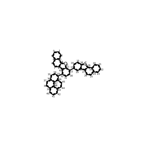 c1ccc2c(c1)ccc1c2oc2c(-c3ccc4sc5c6ccccc6ccc5c4c3)ccc(-c3ccc4ccc5cccc6ccc3c4c56)c21